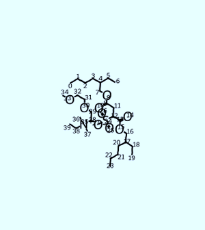 CCCCC(CC)COC(=O)CC(C(=O)OCC(CC)CCCC)S(=O)(=O)OC(COCCOC)[N+](C)(C)CC